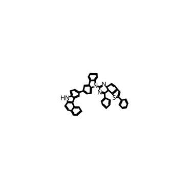 C1=CC2N=C(n3c4ccccc4c4cc(-c5ccc6[nH]c7ccc8ccccc8c7c6c5)ccc43)N=C(c3ccccc3)C2c2sc(-c3ccccc3)cc21